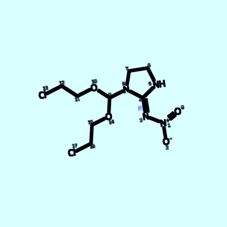 O=[N+]([O-])/N=C1\NCCN1C(OCCCl)OCCCl